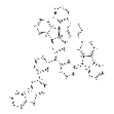 c1ccc(C2(c3ccccc3)c3ccccc3-c3cc(N(c4cccc(-c5ccc6sc7ccccc7c6c5)c4)c4cccc(-n5c6ccccc6c6ccccc65)c4)ccc32)cc1